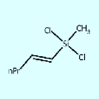 CCCC=C[Si](C)(Cl)Cl